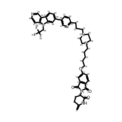 C=C1CCC(N2C(=O)c3ccc(OCCCCCN4CCN(CCCc5ccc(-c6ccc7c8cnccc8n(CC(F)(F)F)c7c6)cn5)CC4)cc3C2=O)C(=O)N1